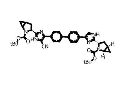 CC(C)(C)OC(=O)N1C2CC2C[C@H]1c1nc(-c2ccc(-c3ccc(-c4c[nH]c([C@@H]5C[C@H]6C[C@H]6N5C(=O)OC(C)(C)C)n4)cc3)cc2)c(C#N)[nH]1